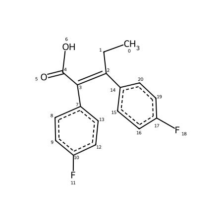 CCC(=C(C(=O)O)c1ccc(F)cc1)c1ccc(F)cc1